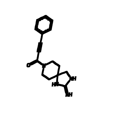 N=C1NCC2(CCN(C(=O)C#Cc3ccccc3)CC2)N1